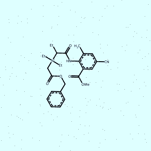 CCC(C(=O)Nc1c(C)cc(C#N)cc1C(=O)OC)[N+](CC)(CC)CC(=O)OCc1ccccc1